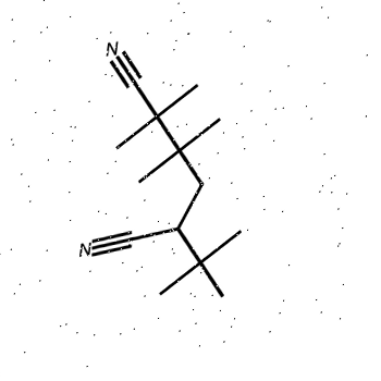 CC(C)(C)C(C#N)CC(C)(C)C(C)(C)C#N